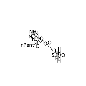 CCCCCC(=O)OC1C[C@@H](COC(=O)CCCOC2SC[C@@H]3NC(=O)N[C@H]23)O[C@H]1n1cnc2c(N)ncnc21